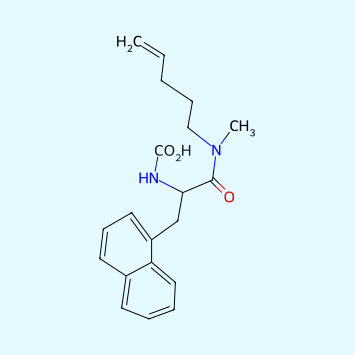 C=CCCCN(C)C(=O)C(Cc1cccc2ccccc12)NC(=O)O